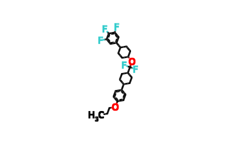 CCCOc1ccc(C2CCC(C(F)(F)OC3CCC(c4cc(F)c(F)c(F)c4)CC3)CC2)cc1